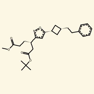 COC(=O)CC[C@@H](CC(=O)OC(C)(C)C)c1cc([C@H]2C[C@@H](CCc3ccccc3)C2)on1